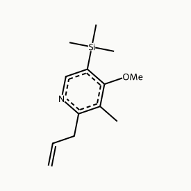 C=CCc1ncc([Si](C)(C)C)c(OC)c1C